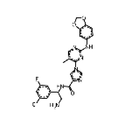 Cc1cnc(Nc2ccc3c(c2)OCO3)nc1-n1cnc(C(=O)NC(CN)c2cc(F)cc(Cl)c2)c1